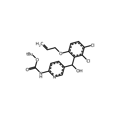 C=CCOc1ccc(Cl)c(Cl)c1C(O)c1ccc(NC(=O)OC(C)(C)C)nc1